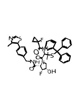 Cc1ncsc1-c1ccc(CNC(=O)[C@H]2[C@@H](F)[C@@H](O)CN2C(=O)C(NC(=O)C2(F)CC2)C(C)(C)SC(c2ccccc2)(c2ccccc2)c2ccccc2)cc1